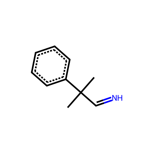 CC(C)(C=N)c1ccccc1